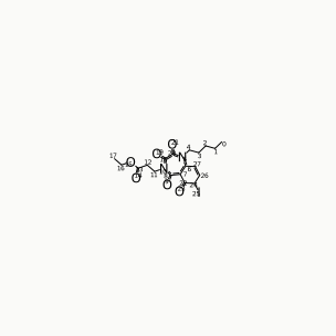 CCCCCn1c2c(c(=O)n(CCC(=O)OCC)c(=O)c1=O)C(=O)C(I)C=C2